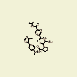 C=C(C)NC(=O)c1cnc(C(=O)NC(C(=O)N2CCCC2C(=O)NC(C)c2ccc(-c3scnc3C)cc2)C(C)(C)C)cn1